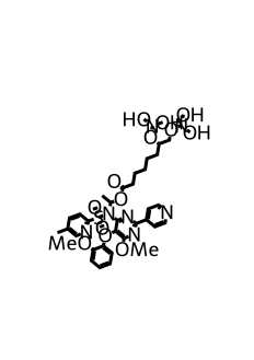 COc1ccccc1Oc1c(OC)nc(-c2ccncc2)nc1N(C(C)OC(=O)CCCCCC(CON(O)O)ON(O)O)S(=O)(=O)c1ccc(C)cn1